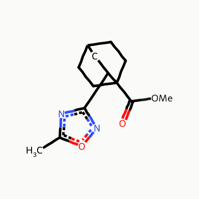 COC(=O)C12CCC(CC1)CC2c1noc(C)n1